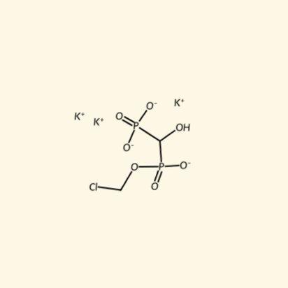 O=P([O-])([O-])C(O)P(=O)([O-])OCCl.[K+].[K+].[K+]